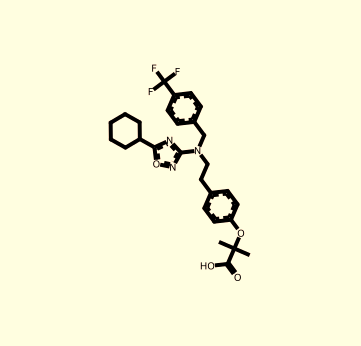 CC(C)(Oc1ccc(CCN(Cc2ccc(C(F)(F)F)cc2)c2noc(C3CCCCC3)n2)cc1)C(=O)O